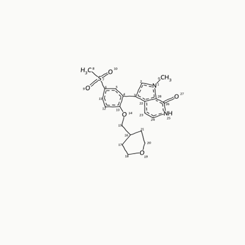 Cn1cc(-c2cc(S(C)(=O)=O)ccc2OCC2CCOCC2)c2cc[nH]c(=O)c21